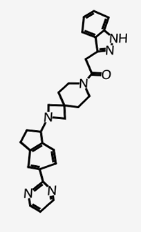 O=C(Cc1n[nH]c2ccccc12)N1CCC2(CC1)CN(C1CCc3cc(-c4ncccn4)ccc31)C2